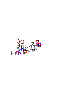 CC(=O)SC1CC(=NO)N(C(=O)OCc2ccc([N+](=O)[O-])cc2)C1